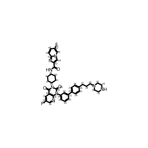 O=C(N[C@H]1CC[C@@H](n2c(=O)c3cc(F)cnc3n(-c3cccc(-c4ccc(CCCN5CCNCC5)cc4)c3)c2=O)CC1)c1cn2cc(F)ccc2n1